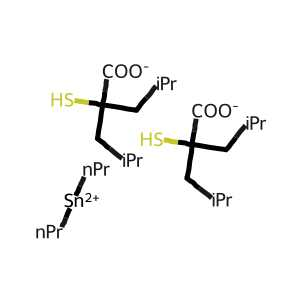 CC(C)CC(S)(CC(C)C)C(=O)[O-].CC(C)CC(S)(CC(C)C)C(=O)[O-].CC[CH2][Sn+2][CH2]CC